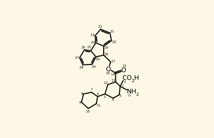 NC1(C(=O)O)CCC(C2CCCCC2)CC1C(=O)OCC1c2ccccc2-c2ccccc21